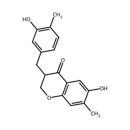 Cc1ccc(CC2COc3cc(C)c(O)cc3C2=O)cc1O